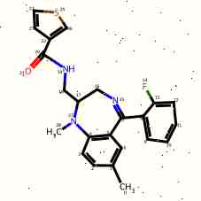 Cc1ccc2c(c1)C(c1ccccc1F)=NCC(CNC(=O)c1ccsc1)N2C